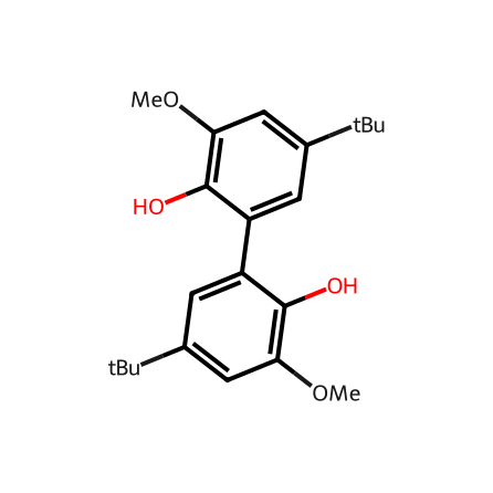 COc1cc(C(C)(C)C)cc(-c2cc(C(C)(C)C)cc(OC)c2O)c1O